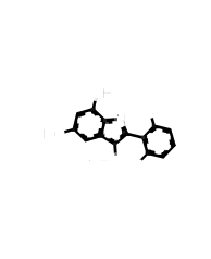 Cc1cc(C)c2[nH]c(-c3c(F)cccc3F)c(C=O)c2c1